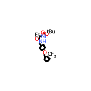 CC[C@H](NC(=O)OC(C)(C)C)C(=O)NCc1ccc(OCc2ccccc2C(F)(F)F)cc1